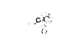 Cc1nc[nH]c1-c1nc2ccc(C(O)O)cn2c1NCCN1CCOCC1